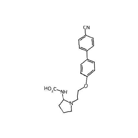 N#Cc1ccc(-c2ccc(OCCN3CCCC3NC(=O)O)cc2)cc1